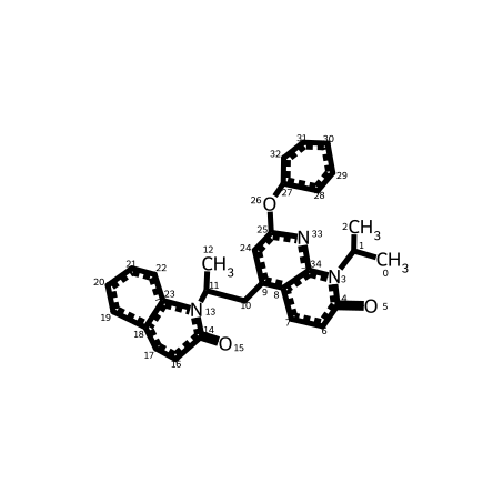 CC(C)n1c(=O)ccc2c(CC(C)n3c(=O)ccc4ccccc43)cc(Oc3ccccc3)nc21